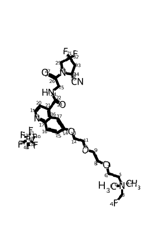 C[N+](C)(CF)CCOCCOCCOc1ccc2nccc(C(=O)NCC(=O)N3CC(F)(F)C[C@H]3C#N)c2c1.F[P-](F)(F)(F)(F)F